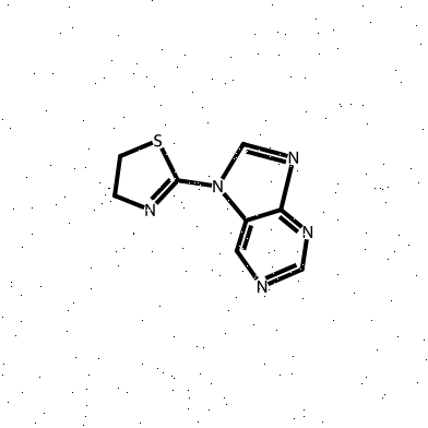 c1ncc2c(n1)ncn2C1=NCCS1